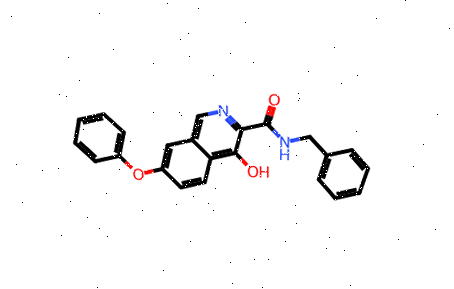 O=C(NCc1ccccc1)c1ncc2cc(Oc3ccccc3)ccc2c1O